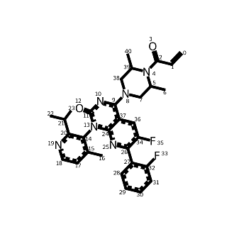 C=CC(=O)N1C(C)CN(c2nc(=O)n(-c3c(C)ccnc3C(C)C)c3nc(-c4ccccc4F)c(F)cc23)CC1C